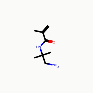 C=C(C)C(=O)NC(C)(C)CN